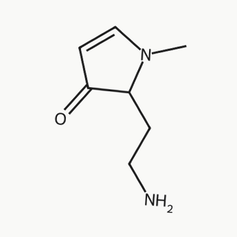 CN1C=CC(=O)C1CCN